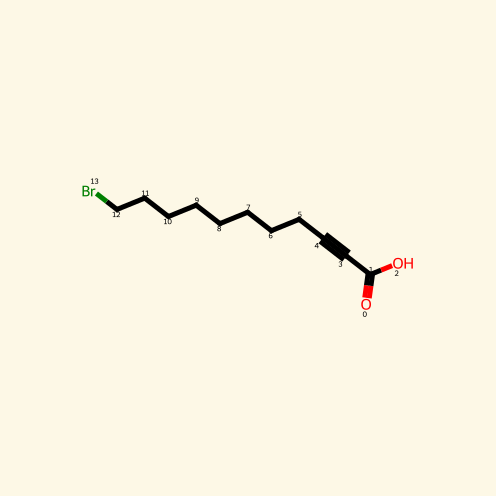 O=C(O)C#CCCCCCCCCBr